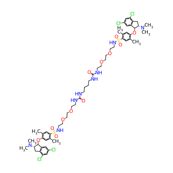 Cc1cc(S(=O)(=O)NCCOCCOCCNC(=O)NCCCCNC(=O)NCCOCCOCCNS(=O)(=O)c2cc(C)c(O[C@H]3c4cc(Cl)cc(Cl)c4C[C@@H]3N(C)C)cc2C)c(C)cc1O[C@H]1c2cc(Cl)cc(Cl)c2C[C@@H]1N(C)C